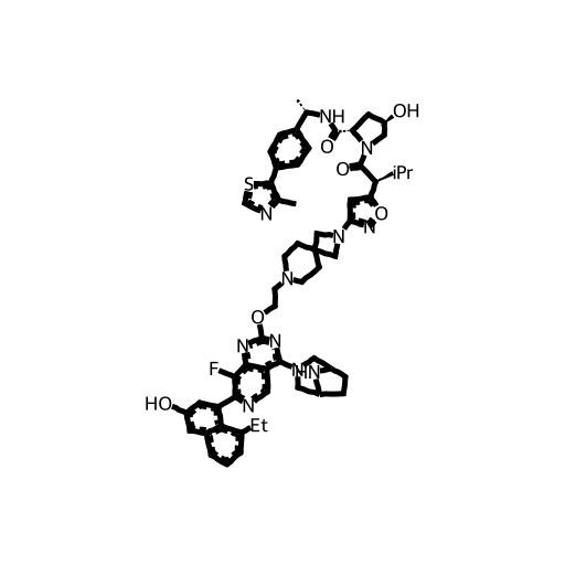 CCc1cccc2cc(O)cc(-c3ncc4c(N5CC6CCC(C5)N6)nc(OCCN5CCC6(CC5)CN(c5cc([C@@H](C(=O)N7C[C@H](O)C[C@H]7C(=O)N[C@@H](C)c7ccc(-c8scnc8C)cc7)C(C)C)on5)C6)nc4c3F)c12